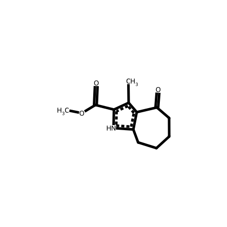 COC(=O)c1[nH]c2c(c1C)C(=O)CCCC2